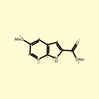 COC(=O)c1cc2cc(OC)cnc2[nH]1